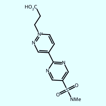 CNS(=O)(=O)c1cnc(-c2cc[n+](CCC(=O)O)nc2)nc1